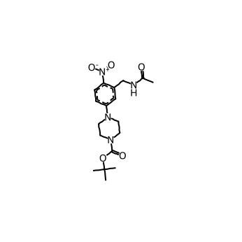 CC(=O)NCc1cc(N2CCN(C(=O)OC(C)(C)C)CC2)ccc1[N+](=O)[O-]